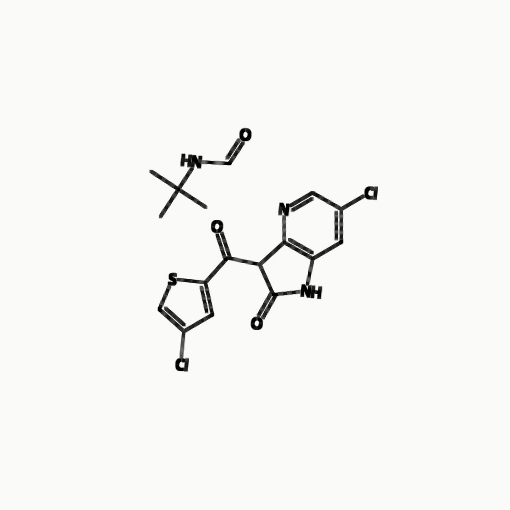 CC(C)(C)NC=O.O=C1Nc2cc(Cl)cnc2C1C(=O)c1cc(Cl)cs1